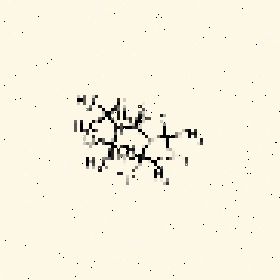 CC(C)(C)N(C(=S)N(C(C)(C)C)C(C)(C)C)C(C)(C)C